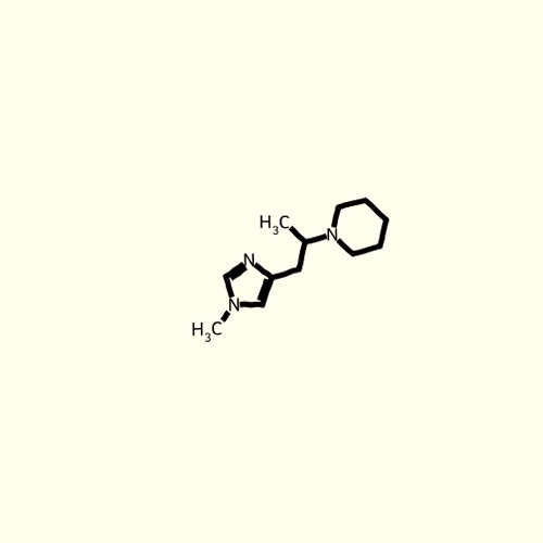 CC(Cc1cn(C)cn1)N1CCCCC1